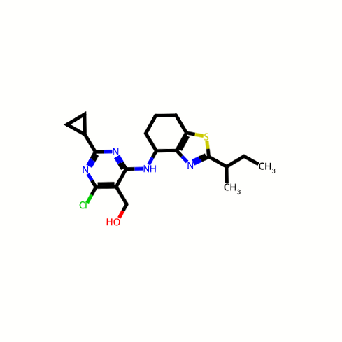 CCC(C)c1nc2c(s1)CCCC2Nc1nc(C2CC2)nc(Cl)c1CO